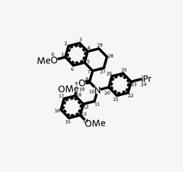 COc1ccc2c(c1)C(C(=O)N(Cc1c(OC)cccc1OC)c1ccc(C(C)C)cc1)CCC2